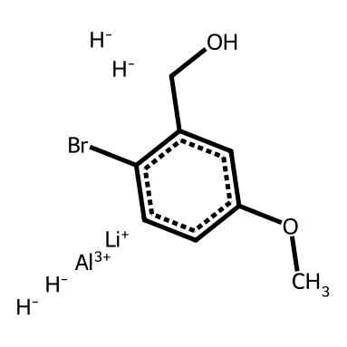 COc1ccc(Br)c(CO)c1.[Al+3].[H-].[H-].[H-].[H-].[Li+]